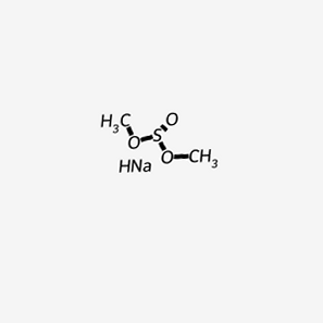 COS(=O)OC.[NaH]